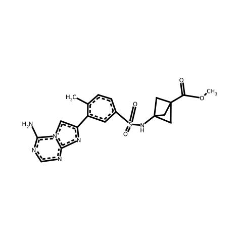 COC(=O)C12CC(NS(=O)(=O)c3ccc(C)c(-c4cn5c(N)ncnc5n4)c3)(C1)C2